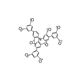 c1cc(N(c2ccc(-c3cc(C4CO4)cc(C4CO4)c3)c(C3CO3)c2)c2ccc(-c3cc(C4CO4)cc(C4CO4)c3)cc2C2CO2)c(C2CO2)cc1-c1cc(C2CO2)cc(C2CO2)c1